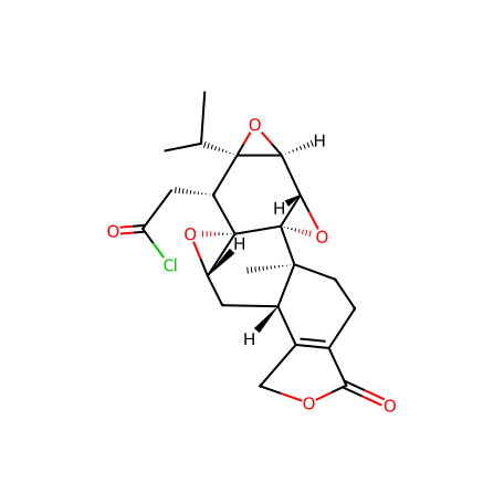 CC(C)[C@]12O[C@H]1[C@@H]1O[C@]13[C@]1(O[C@H]1C[C@H]1C4=C(CC[C@@]13C)C(=O)OC4)[C@@H]2CC(=O)Cl